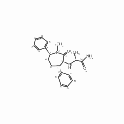 C[C@H](N[C@@H]1C(=O)N(C)[C@H](c2ccccc2)CC[C@H]1c1ccccc1)C(N)=O